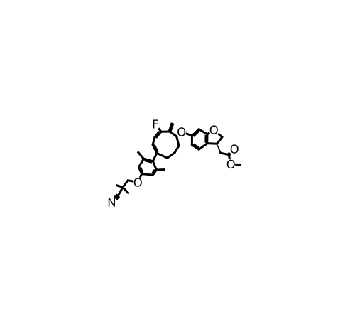 C=C1/C(F)=C\C=C(\c2c(C)cc(OCC(C)(C)C#N)cc2C)CCC[C@H]1Oc1ccc2c(c1)OC[C@H]2CC(=O)OC